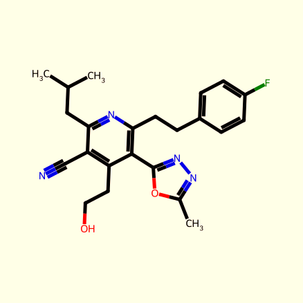 Cc1nnc(-c2c(CCc3ccc(F)cc3)nc(CC(C)C)c(C#N)c2CCO)o1